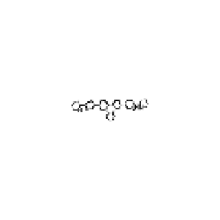 C1=CCNC(c2ccc(-c3ccc4c5ccc(-c6ccc(-c7ccccn7)nc6)cc5c5ccccc5c4c3)cn2)=C1